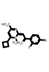 C=C(/C=C1/N=C(C(=O)O)C=C(C2CCC2)N1C)c1ccc(Br)cc1F